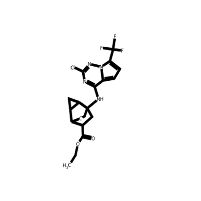 CCOC(=O)C1CC2(Nc3nc(Cl)nn4c(C(F)(F)F)ccc34)CCC1C1CC12